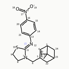 CC1(C)C2C=C(CN3CCS/C3=N\c3ccc([N+](=O)[O-])cc3)CC1C2